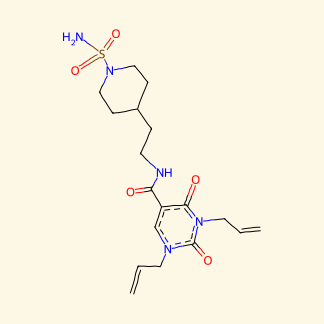 C=CCn1cc(C(=O)NCCC2CCN(S(N)(=O)=O)CC2)c(=O)n(CC=C)c1=O